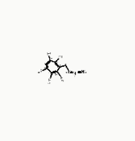 [N-]=[N+]=NCC1=C(F)C(F)=C=C(F)C(F)=C1F